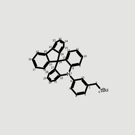 CC(C)(C)Cc1cccc(N2c3ccccc3C3(c4ccccc4-c4ccccc43)c3ccccc32)c1